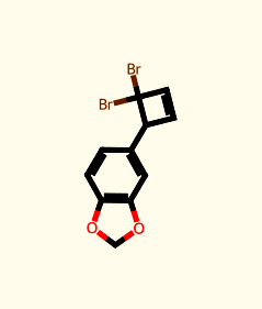 BrC1(Br)C=CC1c1ccc2c(c1)OCO2